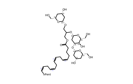 CCCCC/C=C\C/C=C\C/C=C\C/C=C\CCCC(=O)OCC(CO[C@H]1C[C@@H](O)C[C@@H](CO)O1)O[C@H]1C[C@@H](O[C@H]2C[C@@H](O)C[C@@H](CO)O2)[C@H](O)[C@@H](CO)O1